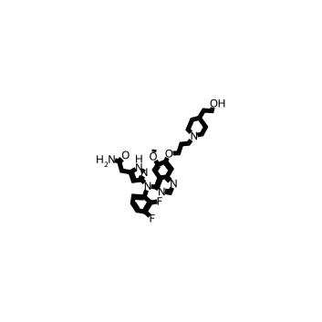 COc1cc2c(N(c3cc(CC(N)=O)[nH]n3)c3cccc(F)c3F)ncnc2cc1OCCCN1CCC(CCO)CC1